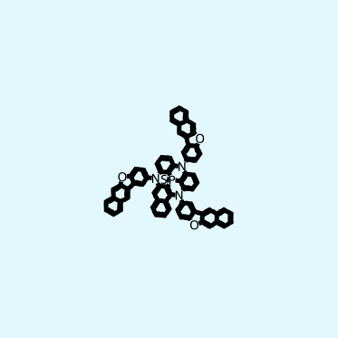 S=P12c3c4cccc3N(c3ccc5oc6cc7ccccc7cc6c5c3)c3cc5ccccc5c(c31)N(c1ccc3oc5cc6ccccc6cc5c3c1)c1cccc(c12)N4c1ccc2oc3cc4ccccc4cc3c2c1